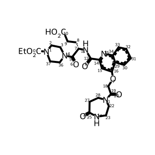 CCOC(=O)N1CCN(C(=O)[C@H](CCC(=O)O)NC(=O)c2cc(OCC(=O)N3CCNC(=O)CC3)c3ccccc3n2)CC1